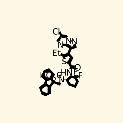 CCc1sc(C(=O)N[C@@H]2[C@@H](N(CC3c4ccccc4-c4ccccc43)C(=O)O)CCCC2(F)F)cc1-c1cnn2cc(Cl)cnc12